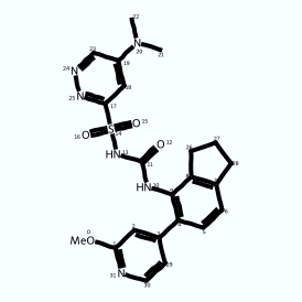 COc1cc(-c2ccc3c(c2NC(=O)NS(=O)(=O)c2cc(N(C)C)cnn2)CCC3)ccn1